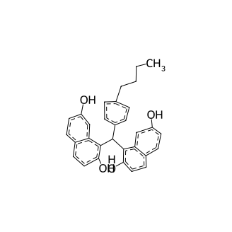 CCCCc1ccc(C(c2c(O)ccc3ccc(O)cc23)c2c(O)ccc3ccc(O)cc23)cc1